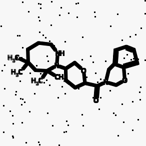 CC1(C)CCCNN(C2CCC(C(=O)N3COc4ccccc4C3)OC2)C(C)(C)C1